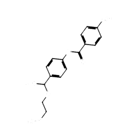 CCCCCCCCCCCCOC(C)c1ccc(OC(=O)c2ccc(CCCC)cc2)cc1